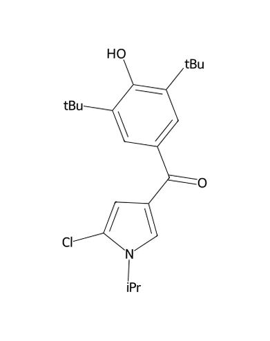 CC(C)n1cc(C(=O)c2cc(C(C)(C)C)c(O)c(C(C)(C)C)c2)cc1Cl